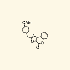 COc1ccc(Cc2nc3c(o2)c(=O)oc2ccccc23)cc1